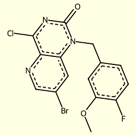 COc1cc(Cn2c(=O)nc(Cl)c3ncc(Br)cc32)ccc1F